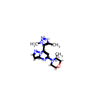 Cc1nnn(C)c1-c1cc(N2CCOC[C@H]2C)nc2ccnn12